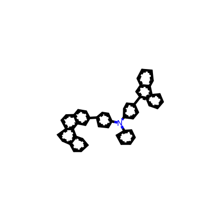 c1ccc(N(c2ccc(-c3ccc4ccc5ccc6ccccc6c5c4c3)cc2)c2ccc(-c3cc4ccccc4c4ccccc34)cc2)cc1